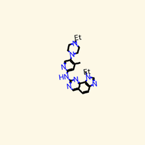 CCN1CCN(c2cnc(Nc3ncc4ccc5ncn(CC)c5c4n3)cc2C)CC1